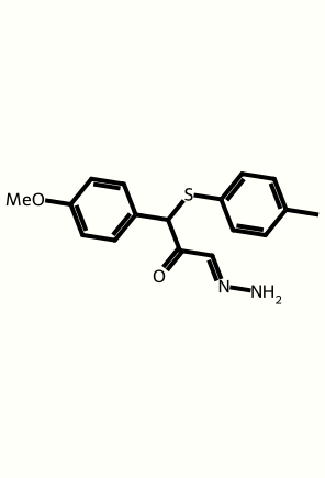 COc1ccc(C(Sc2ccc(C)cc2)C(=O)C=NN)cc1